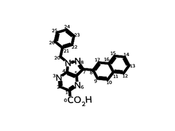 O=C(O)c1cnc2c(n1)c(-c1ccc3ccccc3c1)nn2Cc1ccccc1